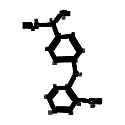 CC(C)(C)N(C(=O)O)c1ccc(Oc2ccncc2C=O)cc1